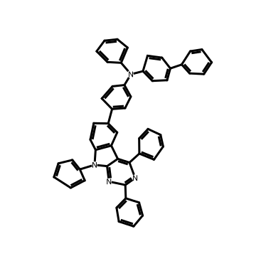 c1ccc(-c2ccc(N(c3ccccc3)c3ccc(-c4ccc5c(c4)c4c(-c6ccccc6)nc(-c6ccccc6)nc4n5-c4ccccc4)cc3)cc2)cc1